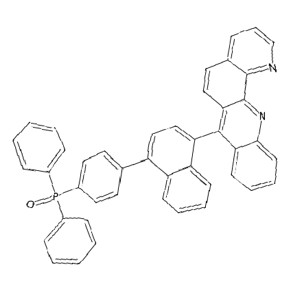 O=P(c1ccccc1)(c1ccccc1)c1ccc(-c2ccc(-c3c4ccccc4nc4c3ccc3cccnc34)c3ccccc23)cc1